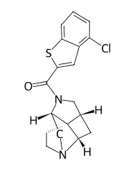 O=C(c1cc2c(Cl)cccc2s1)N1C[C@@H]2C[C@@H]3N4CC[C@]23[C@@H]1C4